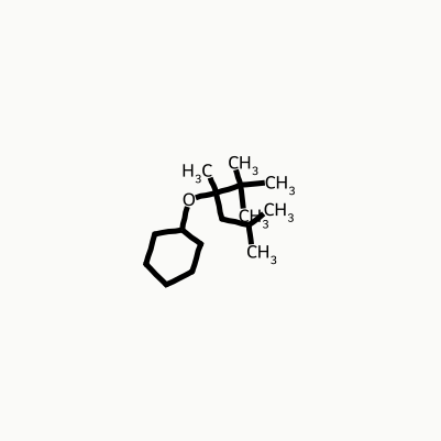 CC(C)CC(C)(OC1CCCCC1)C(C)(C)C